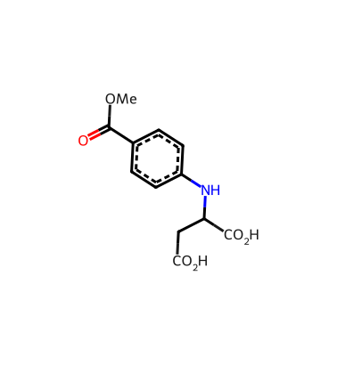 COC(=O)c1ccc(NC(CC(=O)O)C(=O)O)cc1